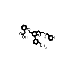 NCc1cccc(-c2cc(COc3ccccc3CC(=O)O)cc3cc(CNCc4cccnc4)oc23)c1